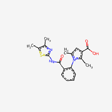 Cc1nc(NC(=O)c2ccccc2-n2c(C)cc(C(=O)O)c2C)sc1C